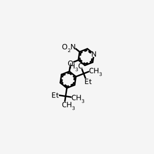 CCC(C)(C)c1ccc(Oc2ccncc2[N+](=O)[O-])c(C(C)(C)CC)c1